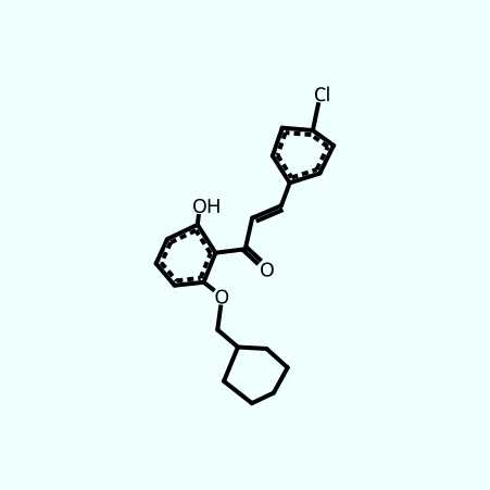 O=C(/C=C/c1ccc(Cl)cc1)c1c(O)cccc1OCC1CCCCC1